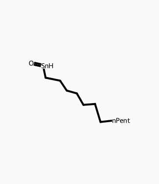 CCCCCCCCCCC[CH2][SnH]=[O]